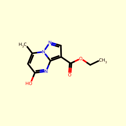 CCOC(=O)c1cnn2c(C)cc(O)nc12